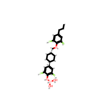 CCCc1cc(F)c(OC[C@H]2CC[C@H](c3cc(F)c(OB(O)O)c(F)c3)CC2)c(F)c1